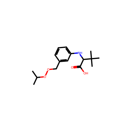 CC(C)OOCc1cccc(NC(C(=O)O)C(C)(C)C)c1